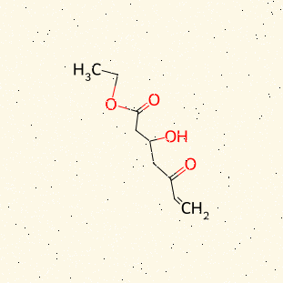 C=CC(=O)CC(O)CC(=O)OCC